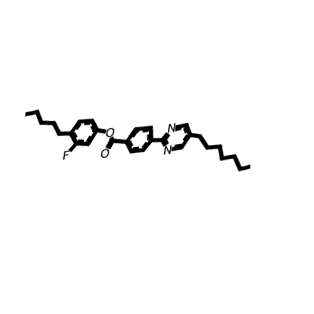 CCCCCCCc1cnc(-c2ccc(C(=O)Oc3ccc(CCCCC)c(F)c3)cc2)nc1